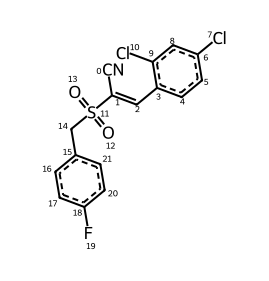 N#C/C(=C\c1ccc(Cl)cc1Cl)S(=O)(=O)Cc1ccc(F)cc1